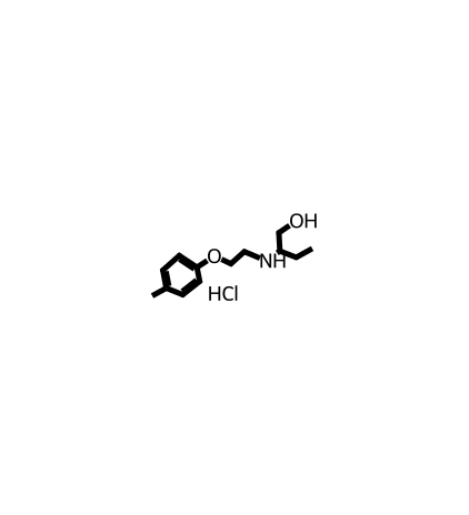 CCC(CO)NCCOc1ccc(C)cc1.Cl